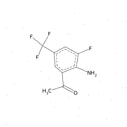 CC(=O)c1cc(C(F)(F)F)cc(F)c1N